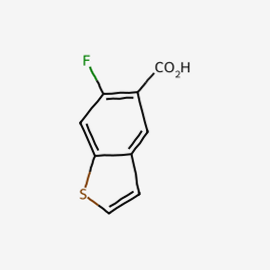 O=C(O)c1cc2ccsc2cc1F